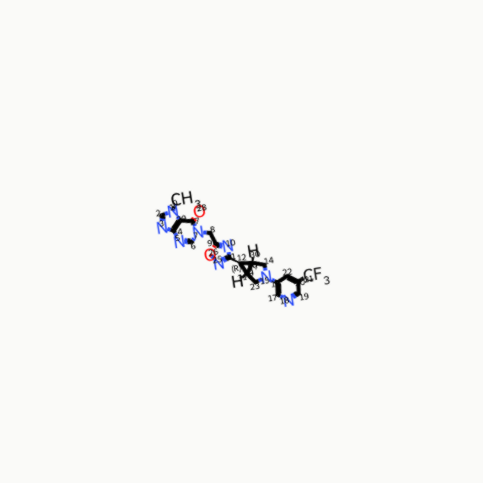 Cn1cnc2ncn(Cc3nc([C@H]4[C@@H]5CN(c6cncc(C(F)(F)F)c6)C[C@@H]54)no3)c(=O)c21